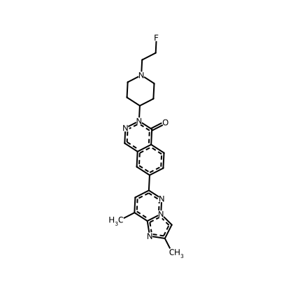 Cc1cn2nc(-c3ccc4c(=O)n(C5CCN(CCF)CC5)ncc4c3)cc(C)c2n1